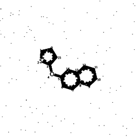 c1csc(Oc2ccc3ccccc3c2)c1